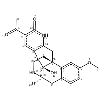 COc1ccc2c(c1)[C@]13CCN[C@H](C2)[C@]1(O)Cc1cc(C(C)=O)c(=O)[nH]c1C3